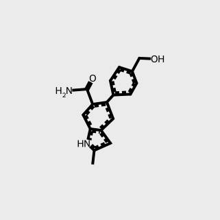 Cc1cc2cc(-c3ccc(CO)cc3)c(C(N)=O)cc2[nH]1